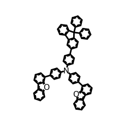 c1ccc(C2(c3ccccc3)c3ccccc3-c3cc(-c4ccc(N(c5ccc(-c6cccc7c6oc6ccccc67)cc5)c5ccc(-c6cccc7c6oc6ccccc67)cc5)cc4)ccc32)cc1